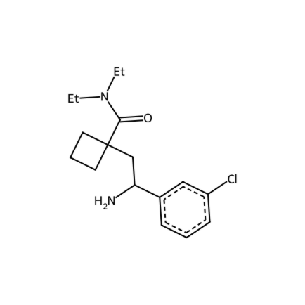 CCN(CC)C(=O)C1(CC(N)c2cccc(Cl)c2)CCC1